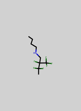 CCCCNCC(F)(C(C)(F)F)C(F)(F)F